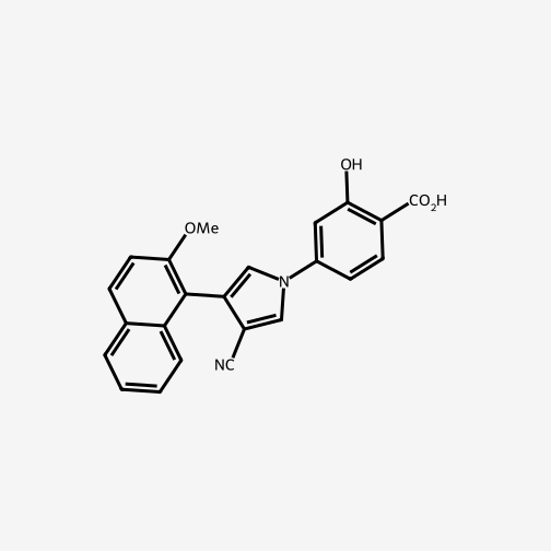 COc1ccc2ccccc2c1-c1cn(-c2ccc(C(=O)O)c(O)c2)cc1C#N